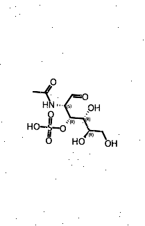 CC(=O)N[C@H](C=O)[C@@H](OS(=O)(=O)O)[C@H](O)[C@H](O)CO